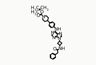 CC(C)(C)OC(=O)N1CCC(c2ccc(Nc3ncnc4c3ncn4C3CC(NC(=O)Cc4ccccc4)C3)cc2)CC1